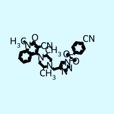 C[C@@H]1CN(c2c(C#N)c(=O)n(C)c3ccccc23)[C@@H](C)CN1Cc1cn(S(=O)(=O)c2ccc(C#N)cc2)nn1